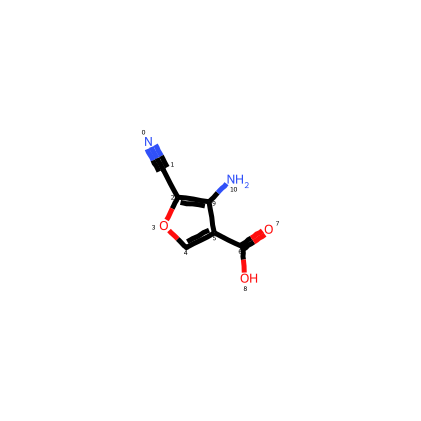 N#Cc1occ(C(=O)O)c1N